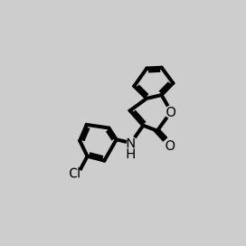 O=c1oc2ccccc2cc1Nc1cccc(Cl)c1